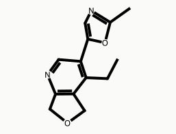 CCc1c(-c2cnc(C)o2)cnc2c1COC2